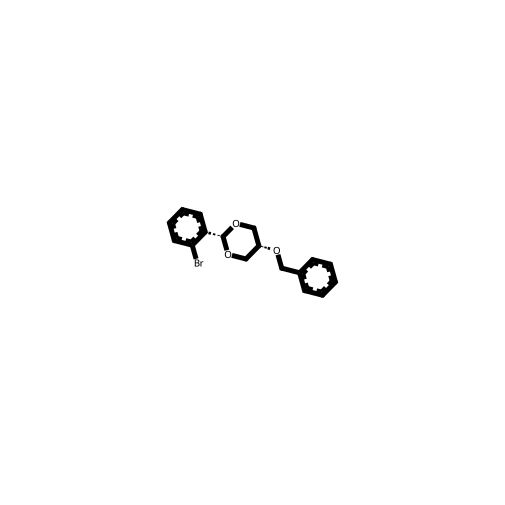 Brc1ccccc1[C@H]1OC[C@@H](OCc2ccccc2)CO1